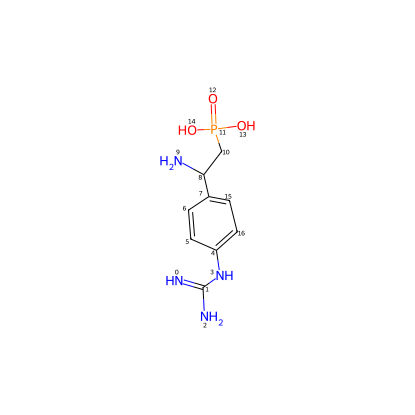 N=C(N)Nc1ccc(C(N)CP(=O)(O)O)cc1